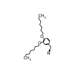 CCCCCCCOc1ccc(CC#N)cc1OCCCCCCC